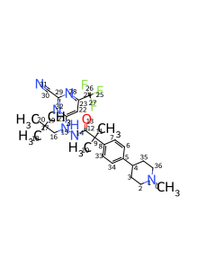 CN1CCC(c2ccc(C(C)(C)C(=O)NN(CC(C)(C)C)c3cc(C(F)(F)F)nc(C#N)n3)cc2)CC1